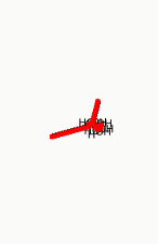 CCCCCCCCCCCCCCCCCCCCCCCCCC(=O)N[C@@H](CCC1OC(CO)[C@H](O)C(O)[C@@H]1O)[C@H](O)[C@H](O)CCCCCCCCCCCCCC